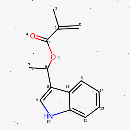 C=C(C)C(=O)OC(C)c1c[nH]c2ccccc12